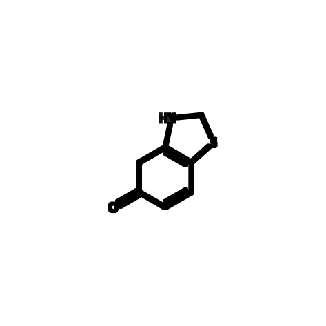 O=C1C=CC2=C(C1)NCS2